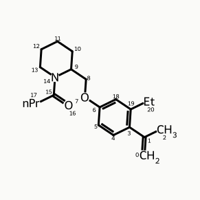 C=C(C)c1ccc(OCC2CCCCN2C(=O)CCC)cc1CC